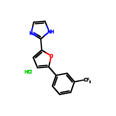 Cl.FC(F)(F)c1cccc(-c2ccc(-c3ncc[nH]3)o2)c1